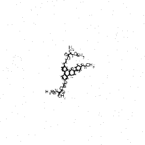 C=C(COC)C(=O)OCCCc1ccc(-c2ccc(OCCOC(=O)C(=C)COC)cc2C2CCC(C3CCC(CCC)CC3)CC2)cc1